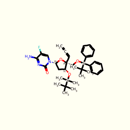 C=C=C[C@]1(CO[Si](c2ccccc2)(c2ccccc2)C(C)(C)C)O[C@@H](n2cc(F)c(N)nc2=O)C[C@@H]1O[Si](C)(C)C(C)(C)C